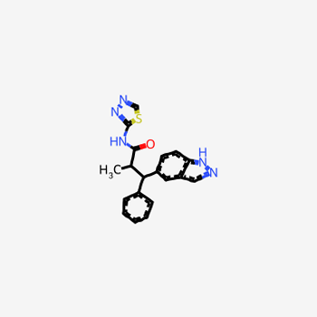 CC(C(=O)Nc1nncs1)C(c1ccccc1)c1ccc2[nH]ncc2c1